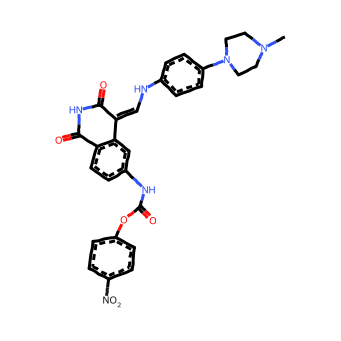 CN1CCN(c2ccc(NC=C3C(=O)NC(=O)c4ccc(NC(=O)Oc5ccc([N+](=O)[O-])cc5)cc43)cc2)CC1